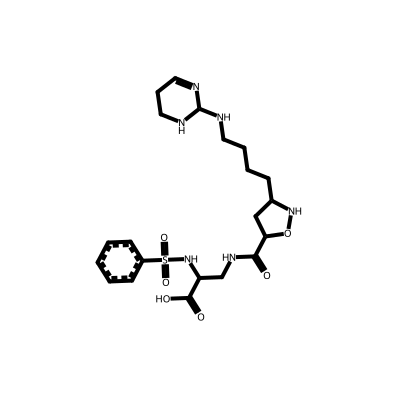 O=C(O)C(CNC(=O)C1CC(CCCCNC2N=CCCN2)NO1)NS(=O)(=O)c1ccccc1